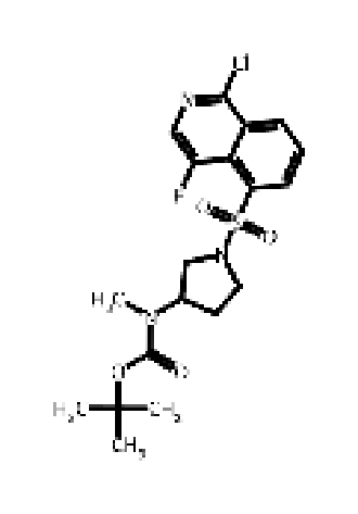 CN(C(=O)OC(C)(C)C)C1CCN(S(=O)(=O)c2cccc3c(Cl)ncc(F)c23)C1